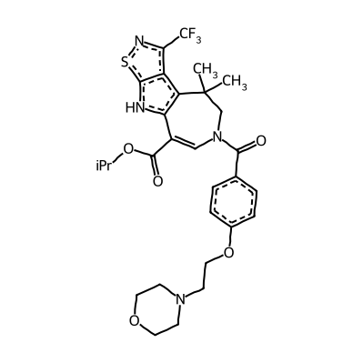 CC(C)OC(=O)C1=CN(C(=O)c2ccc(OCCN3CCOCC3)cc2)CC(C)(C)c2c1[nH]c1snc(C(F)(F)F)c21